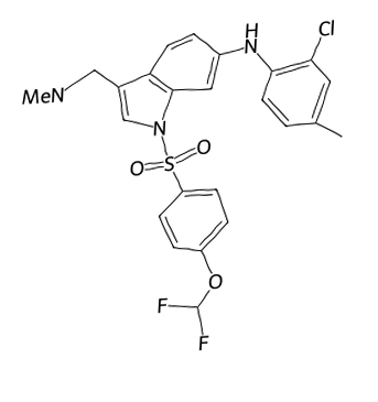 CNCc1cn(S(=O)(=O)c2ccc(OC(F)F)cc2)c2cc(Nc3ccc(C)cc3Cl)ccc12